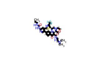 CCCNC(=O)Nc1cc(-c2nc(C(F)(F)F)cs2)c(-c2ccc3c(=O)c(C(=O)NCCN(C)C)cn(CCN4CCOCC4)c3c2)cn1